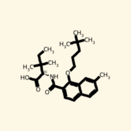 CCC(C)(C)[C@H](NC(=O)c1ccc2ccc(C)cc2c1OCCCC(C)(C)C)C(=O)O